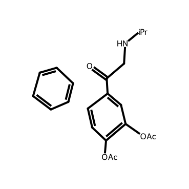 CC(=O)Oc1ccc(C(=O)CNC(C)C)cc1OC(C)=O.c1ccccc1